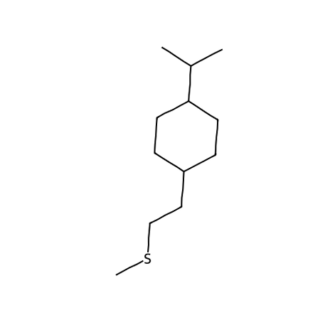 CSCCC1CCC(C(C)C)CC1